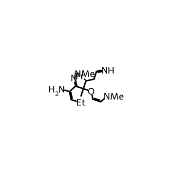 CC/C=C(N)\C(=N\NC)C(C)(O/C=C\NC)[C@H](CC=N)C(C)C